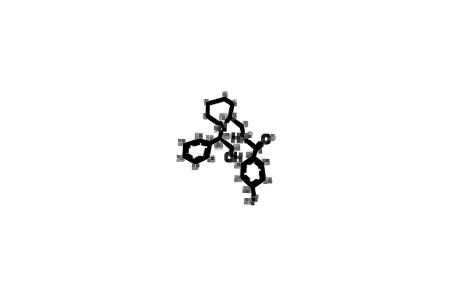 O=C(NC[C@@H]1CCCCN1[C@@H](CO)c1ccccc1)c1ccc(F)cc1